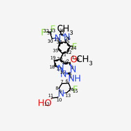 COc1nc(N[C@H]2CCN(CCO)C[C@H]2F)nn2ccc(-c3cc(F)c4nc(C)n(CC(F)F)c4c3)c12